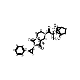 CC1(C)C2CCC1(C)[C@H](NC(=O)N1CCN3C(=O)N([C@H]4C[C@@H]4c4ccccc4)C(=O)[C@@H]3C1)C2